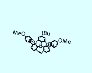 COc1ccc(-c2ccc3c(c2)B(c2c(C(C)(C)C)cc(C(C)(C)C)cc2C(C)(C)C)c2cc(-c4ccc(OC)cc4)ccc2C=C3)cc1